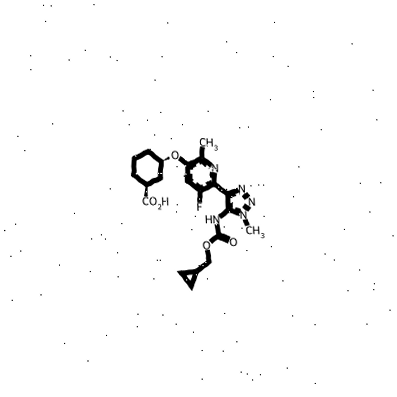 Cc1nc(-c2nnn(C)c2NC(=O)OCC2CC2)c(F)cc1O[C@H]1CCC[C@H](C(=O)O)C1